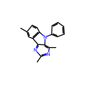 Cc1ccc2c(c1)c1nc(C)nc(C)c1n2-c1ccccc1